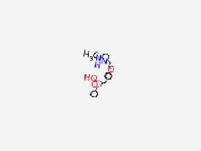 CNc1cccc(CCOc2ccc(CC(CCc3ccccc3)CC(=O)O)cc2)n1